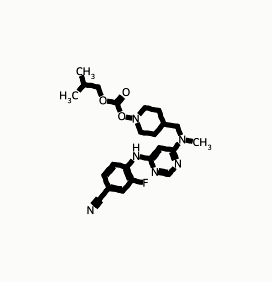 CC(C)COC(=O)ON1CCC(CN(C)c2cc(Nc3ccc(C#N)cc3F)ncn2)CC1